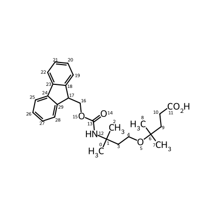 CC(C)(CCOC(C)(C)CCC(=O)O)NC(=O)OCC1c2ccccc2-c2ccccc21